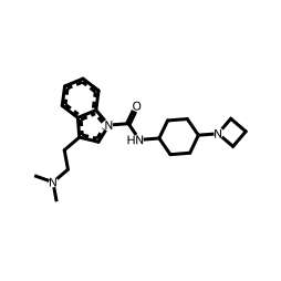 CN(C)CCc1cn(C(=O)NC2CCC(N3CCC3)CC2)c2ccccc12